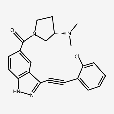 CN(C)[C@H]1CCN(C(=O)c2ccc3[nH]nc(C#Cc4ccccc4Cl)c3c2)C1